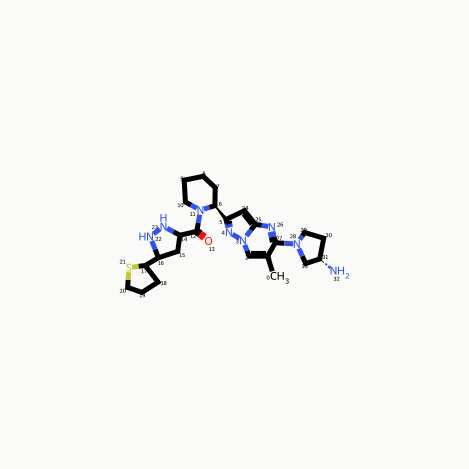 Cc1cn2nc([C@@H]3CCCCN3C(=O)C3CC(C4CCCS4)NN3)cc2nc1N1CC[C@H](N)C1